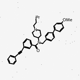 COc1ccc(-c2ccc(CN(C(=O)c3cccc(C#Cc4ccccc4)c3)C3CCN(CCC(C)C)CC3)cc2)cc1